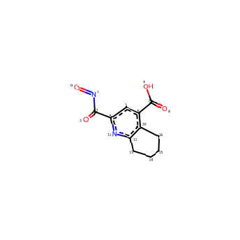 O=NC(=O)c1cc(C(=O)O)c2c(n1)CCCC2